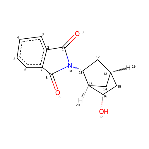 O=C1c2ccccc2C(=O)N1[C@@H]1C[C@@H]2C[C@H]1[C@@H](O)C2